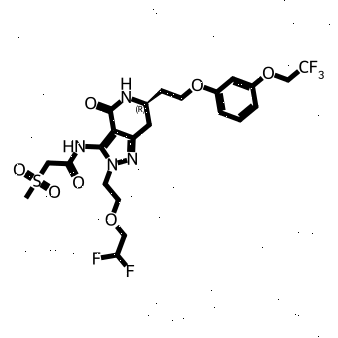 CS(=O)(=O)CC(=O)Nc1c2c(nn1CCOCC(F)F)C[C@H](CCOc1cccc(OCC(F)(F)F)c1)NC2=O